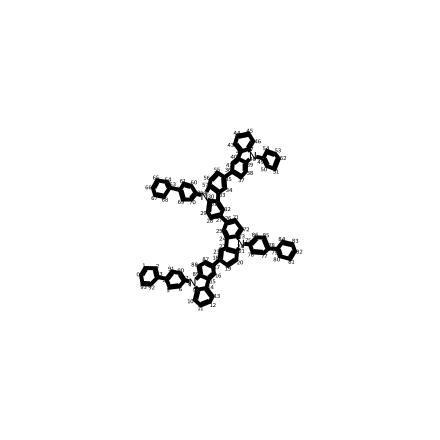 c1ccc(-c2ccc(-n3c4ccccc4c4cc(-c5ccc6c(c5)c5cc(-c7ccc8c(c7)c7cc(-c9ccc%10c(c9)c9ccccc9n%10-c9ccccc9)ccc7n8-c7ccc(-c8ccccc8)cc7)ccc5n6-c5ccc(-c6ccccc6)cc5)ccc43)cc2)cc1